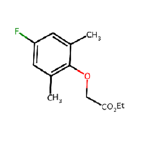 CCOC(=O)COc1c(C)cc(F)cc1C